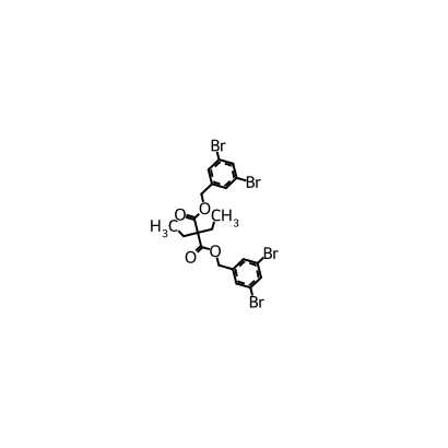 CCC(CC)(C(=O)OCc1cc(Br)cc(Br)c1)C(=O)OCc1cc(Br)cc(Br)c1